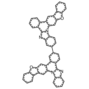 c1ccc2c(c1)nc1c3ccc(-c4ccc5c(c4)nc4c6ccccc6c6cc7c(cc6n54)oc4ccccc47)cc3c3cc4oc5ccccc5c4cc3n21